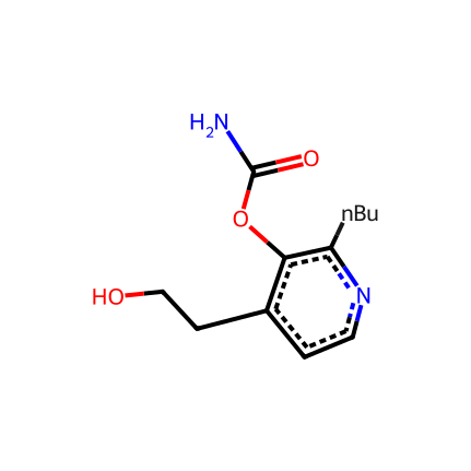 CCCCc1nccc(CCO)c1OC(N)=O